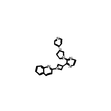 c1ccc2nc(N3CC(c4nccnc4N4CC[C@H](c5ccncc5)C4)C3)ccc2c1